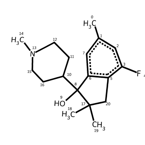 Cc1cc(F)c2c(c1)C(O)(C1CCN(C)CC1)C(C)(C)C2